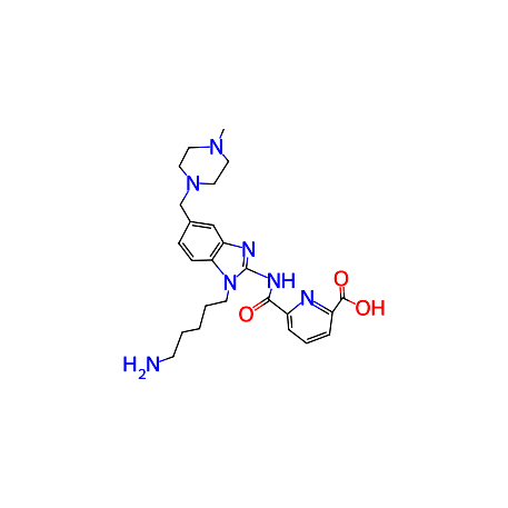 CN1CCN(Cc2ccc3c(c2)nc(NC(=O)c2cccc(C(=O)O)n2)n3CCCCCN)CC1